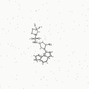 CCC1CC(NS(=O)(=O)N2CCC(F)(F)C2)CC1c1nnc2cnc3[nH]ccc3n12